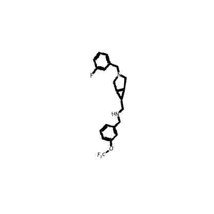 Fc1cccc(CN2CC3C(CNCc4cccc(OC(F)(F)F)c4)C3C2)c1